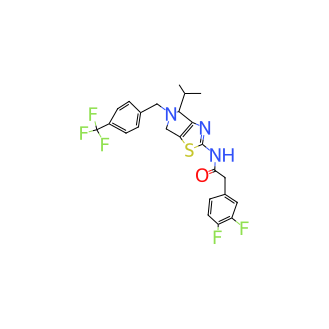 CC(C)C1c2nc(NC(=O)Cc3ccc(F)c(F)c3)sc2CN1Cc1ccc(C(F)(F)F)cc1